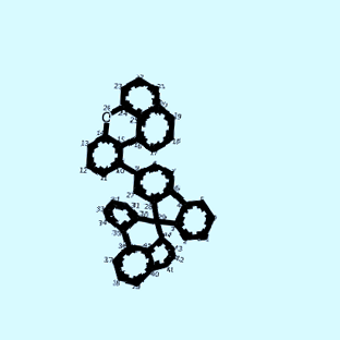 c1ccc2c(c1)-c1ccc(-c3cccc4c3-c3cccc5cccc(c35)O4)cc1C21c2ccccc2-c2cccc3cccc1c23